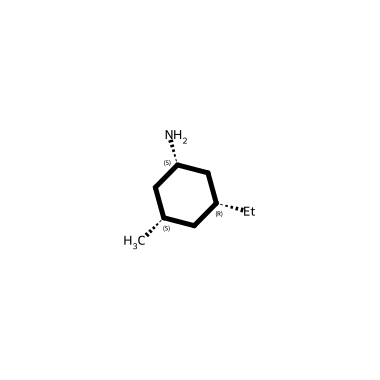 CC[C@@H]1C[C@H](C)C[C@H](N)C1